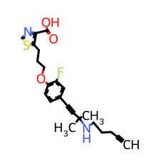 C#CCCCNC(C)(C)C#Cc1ccc(OCCCc2scnc2C(=O)O)c(F)c1